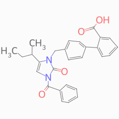 CCC(C)c1cn(C(=O)c2ccccc2)c(=O)n1Cc1ccc(-c2ccccc2C(=O)O)cc1